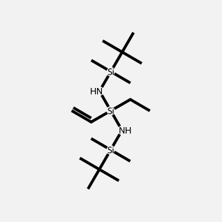 C=C[Si](CC)(N[Si](C)(C)C(C)(C)C)N[Si](C)(C)C(C)(C)C